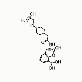 C[C@H](N)CNC1CCC(CC(=O)N[C@H]2Cc3cccc(C(O)O)c3OB2O)CC1